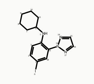 Ic1ccc(NC2CCCCC2)c(-n2nccn2)c1